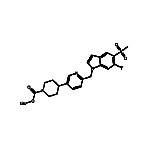 CC(C)(C)OC(=O)N1CCC(c2ccc(Cn3ccc4cc(S(C)(=O)=O)c(F)cc43)nc2)CC1